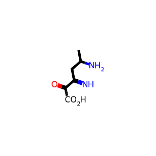 CC(N)CC(=N)C(=O)C(=O)O